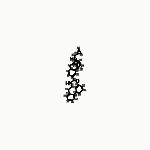 C[C@@H]1[C@H]2Cc3ccc(C(=O)NCCc4ccccc4-c4ccccc4)cc3[C@]1(C)CCN2CC1CC1